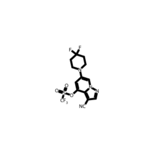 N#Cc1cnn2cc(N3CCC(F)(F)CC3)cc(OS(=O)(=O)C(F)(F)F)c12